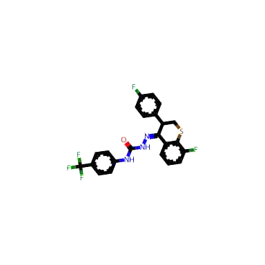 O=C(NN=C1c2cccc(F)c2SCC1c1ccc(F)cc1)Nc1ccc(C(F)(F)F)cc1